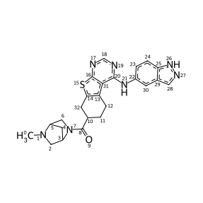 CN1CC2CC1CN2C(=O)C1CCc2c(sc3ncnc(Nc4ccc5[nH]ncc5c4)c23)C1